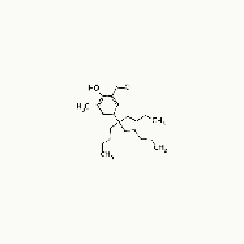 CCCCCC(CCCC)(CCCC)c1cc(C)c(O)c(C=O)c1